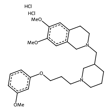 COc1cccc(OCCCN2CCCC(CN3CCc4cc(OC)c(OC)cc4C3)C2)c1.Cl.Cl